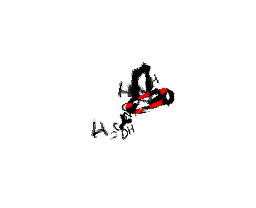 C=C(O)C1CN(c2nc3ccccc3n([C@H]3C[C@H]4CCC[C@@H](C3)N4C3CCCCCCCCC3)c2=O)C1